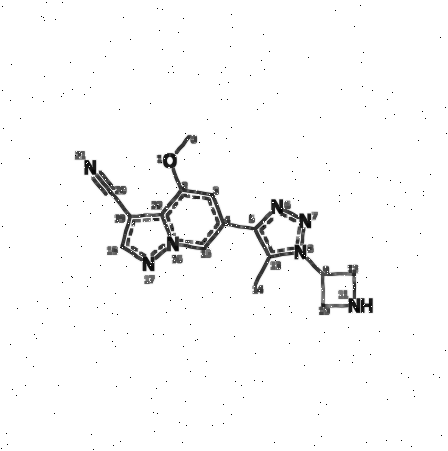 COc1cc(-c2nnn(C3CNC3)c2C)cn2ncc(C#N)c12